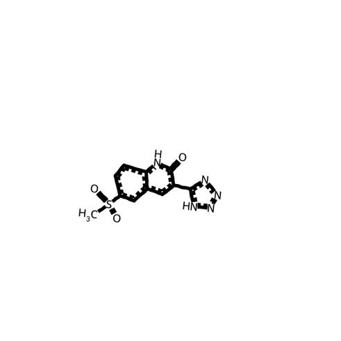 CS(=O)(=O)c1ccc2[nH]c(=O)c(-c3nnn[nH]3)cc2c1